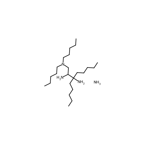 CCCCCN(CCCCC)CC(N)C(N)(CCCCC)CCCCC.N